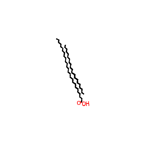 CCCCCCCCCCCCCCCCCCCCC.CCCCCCCCCCCCCCCCCCCCCCCCCCC(=O)O